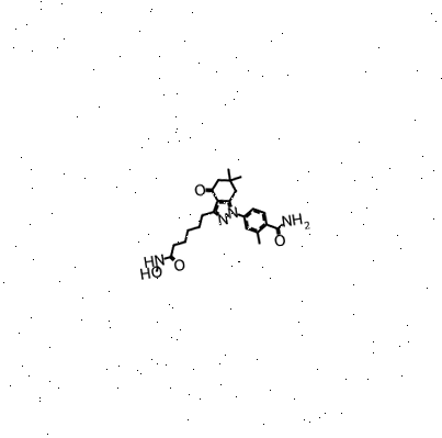 Cc1cc(-n2nc(CCCCCC(=O)NO)c3c2CC(C)(C)CC3=O)ccc1C(N)=O